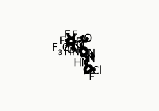 O=S(=O)(Nc1cc2c(Nc3ccc(F)c(Cl)c3)ncnc2cc1O[C@H]1CCOC1)c1c(F)c(F)c(F)c(F)c1C(F)(F)F